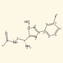 CC(=O)NC[C@@H](N)c1nc(-c2cccc(F)c2)no1.Cl